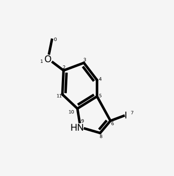 COc1ccc2c(I)c[nH]c2c1